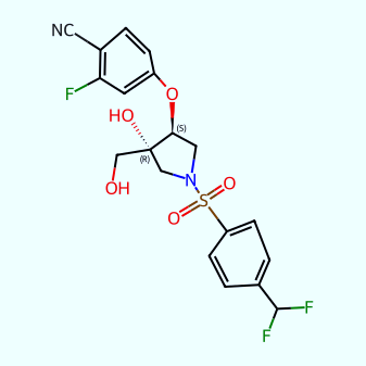 N#Cc1ccc(O[C@H]2CN(S(=O)(=O)c3ccc(C(F)F)cc3)C[C@@]2(O)CO)cc1F